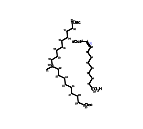 CCCCCCCC/C=C\CCCCCCCC(=O)O.CCCCCCCCCCCCCCCCCCN(C)CCCCCCCCCCCCCCCCCC